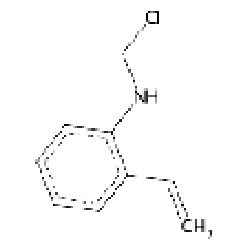 C=Cc1ccccc1NCCl